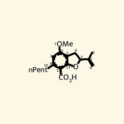 C=C(C)C1Cc2c(OC)cc(CCCCC)c(C(=O)O)c2O1